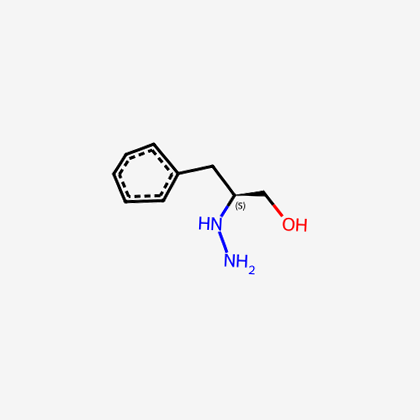 NN[C@H](CO)Cc1ccccc1